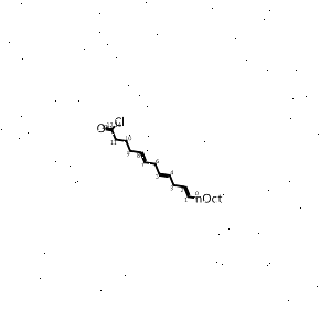 CCCCCCCC/C=C/C/C=C/C/C=C/CCCC(=O)Cl